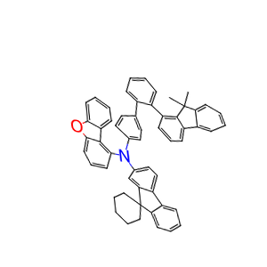 CC1(C)c2ccccc2-c2cccc(-c3ccccc3-c3ccc(N(c4ccc5c(c4)C4(CCCCC4)c4ccccc4-5)c4cccc5oc6ccccc6c45)cc3)c21